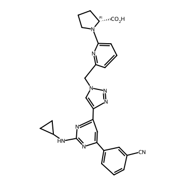 N#Cc1cccc(-c2cc(-c3cn(Cc4cccc(N5CCC[C@@H]5C(=O)O)n4)nn3)nc(NC3CC3)n2)c1